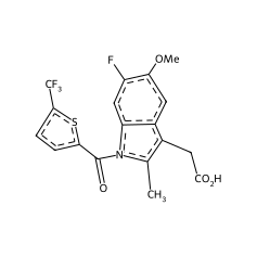 COc1cc2c(CC(=O)O)c(C)n(C(=O)c3ccc(C(F)(F)F)s3)c2cc1F